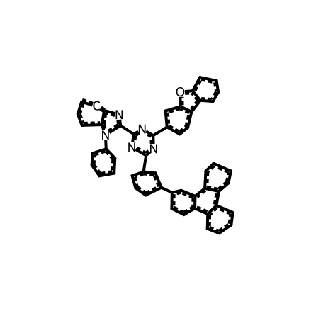 c1ccc(-n2c(-c3nc(-c4cccc(-c5ccc6c7ccccc7c7ccccc7c6c5)c4)nc(-c4ccc5c(c4)oc4ccccc45)n3)nc3ccccc32)cc1